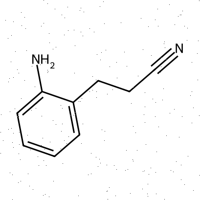 N#CCCc1ccccc1N